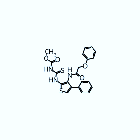 COC(=O)NC(=S)Nc1scc(-c2ccccc2)c1NC(=O)COc1ccccc1